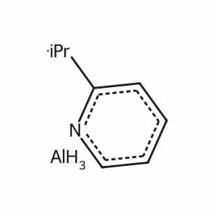 C[C](C)c1ccccn1.[AlH3]